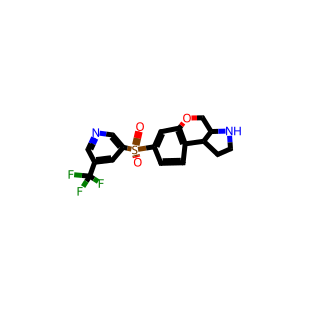 O=S(=O)(c1cncc(C(F)(F)F)c1)c1ccc2c(c1)OCC1NCCC21